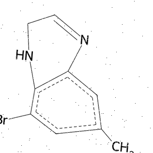 Cc1cc(Br)c2c(c1)N=CCN2